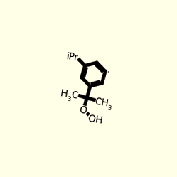 CC(C)c1c[c]cc(C(C)(C)OO)c1